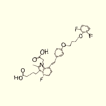 Cc1c(CCCC(=O)O)c2c(F)ccc(C=Cc3ccc(OCCCCOc4c(F)cccc4F)cc3)c2n1CC(=O)O